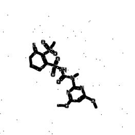 COc1cc(OC)nc(N(C)C(=O)NS(=O)(=O)C2=C(S(C)(=O)=O)C(=S)CC=C2)n1